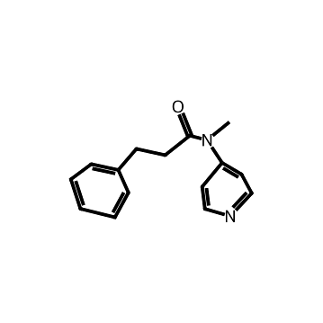 CN(C(=O)CCc1ccccc1)c1ccncc1